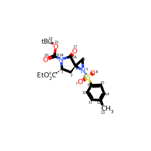 CCOC(=O)[C@H]1C[C@]2(CN2S(=O)(=O)c2ccc(C)cc2)C(=O)N1C(=O)OC(C)(C)C